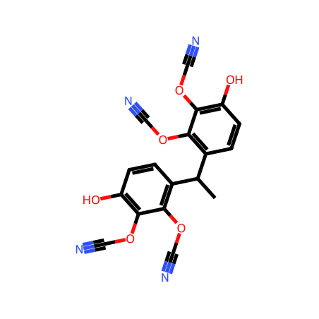 CC(c1ccc(O)c(OC#N)c1OC#N)c1ccc(O)c(OC#N)c1OC#N